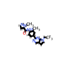 Cc1cc(-c2ncc3ccn(CC(F)(F)F)c3n2)ccc1NC(=O)c1ccnn1C